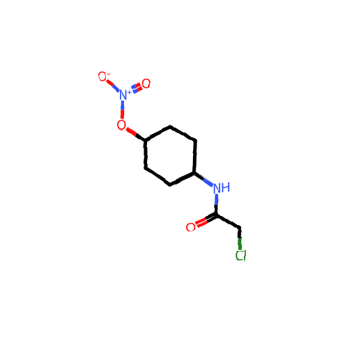 O=C(CCl)NC1CCC(O[N+](=O)[O-])CC1